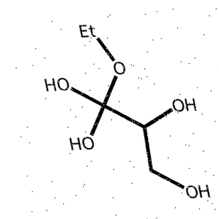 CCOC(O)(O)C(O)CO